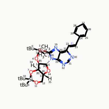 CC(C)(C)[Si](C)(C)O[C@@H]1[C@@H]2O[Si](C(C)(C)C)(C(C)(C)C)OC[C@H]2O[C@H]1n1c(Br)nc2c(/C=C/c3ccccc3)ncnc21